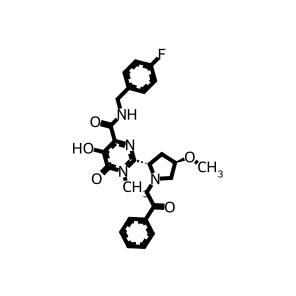 CO[C@@H]1C[C@@H](c2nc(C(=O)NCc3ccc(F)cc3)c(O)c(=O)n2C)N(CC(=O)c2ccccc2)C1